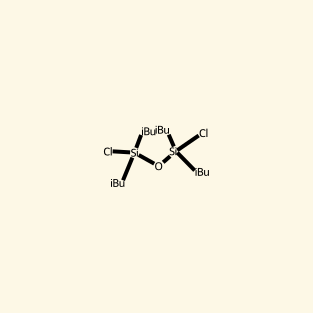 CCC(C)[Si](Cl)(O[Si](Cl)(C(C)CC)C(C)CC)C(C)CC